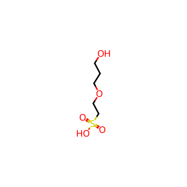 O=S(=O)(O)CCOCCCO